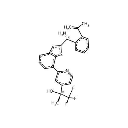 C=C(C)c1ccccc1[C@@H](N)c1cc2cccc(-c3cc([C@@](C)(O)C(F)(F)F)ccn3)c2s1